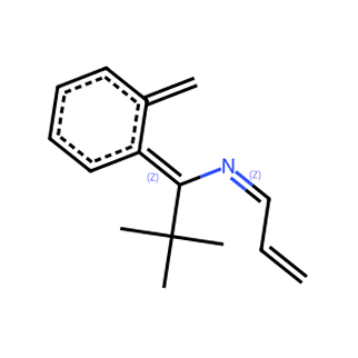 C=C/C=N\C(=c1\ccccc1=C)C(C)(C)C